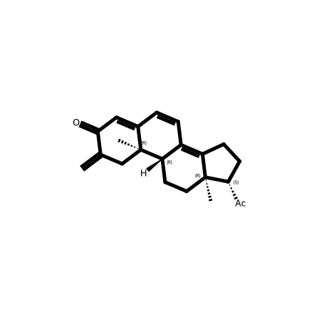 C=C1C[C@@]2(C)C(=CC1=O)C=CC1=C3CC[C@H](C(C)=O)[C@@]3(C)CC[C@@H]12